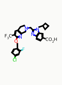 O=C(O)c1ccc2nc(CN3CCc4cc(C(F)(F)F)c(OCc5ccc(Cl)cc5F)nc4C3)n(CC3CCC3)c2c1